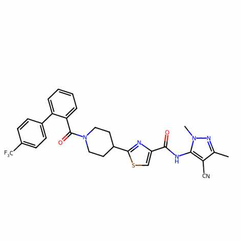 Cc1nn(C)c(NC(=O)c2csc(C3CCN(C(=O)c4ccccc4-c4ccc(C(F)(F)F)cc4)CC3)n2)c1C#N